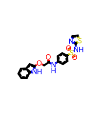 O=C(COc1cc2ccccc2[nH]1)Nc1ccc(S(=O)(=O)Nc2nccs2)cc1